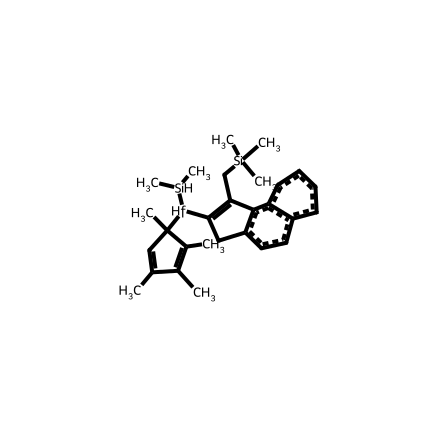 CC1=C[C](C)([Hf]([C]2=C(C[Si](C)(C)C)c3c(ccc4ccccc34)C2)[SiH](C)C)C(C)=C1C